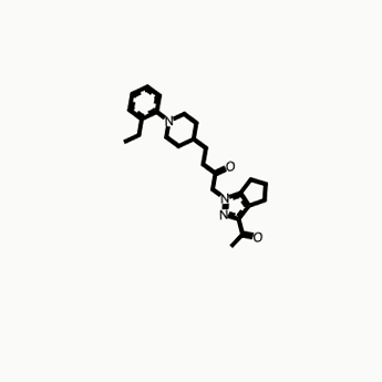 CCc1ccccc1N1CCC(CCC(=O)Cn2nc(C(C)=O)c3c2CCC3)CC1